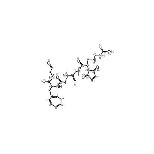 O=CCNC(=O)C(CC1=CCC=CC=C1)NC(=O)CNC(=O)CNC(=O)C(CNCNC(=O)O)N1C(=O)C=CC1=O